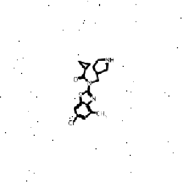 Cc1cc(Cl)cc2sc(N(CC3CCNC3)C(=O)C3CC3)nc12